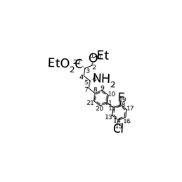 CCOC[C@H](C[C@H](N)Cc1ccc(-c2cc(Cl)ccc2F)cc1)C(=O)OCC